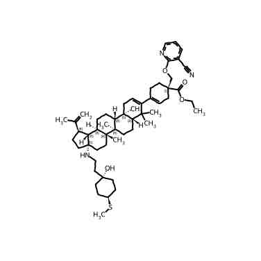 C=C(C)[C@@H]1CC[C@]2(NCC[C@]3(O)CC[C@H](SC)CC3)CC[C@]3(C)[C@H](CC[C@@H]4[C@@]5(C)CC=C(C6=CC[C@@](COc7ncccc7C#N)(C(=O)OCC)CC6)C(C)(C)[C@@H]5CC[C@]43C)[C@@H]12